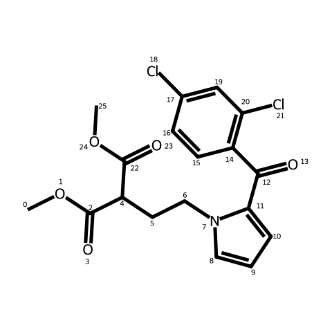 COC(=O)C(CCn1cccc1C(=O)c1ccc(Cl)cc1Cl)C(=O)OC